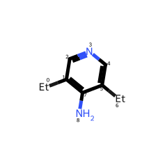 CCc1cncc(CC)c1N